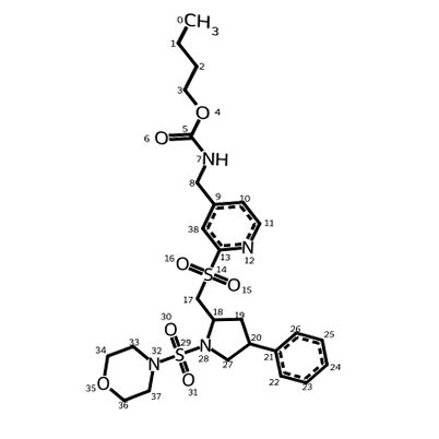 CCCCOC(=O)NCc1ccnc(S(=O)(=O)CC2CC(c3ccccc3)CN2S(=O)(=O)N2CCOCC2)c1